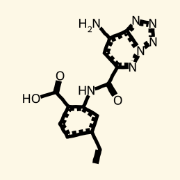 C=Cc1ccc(C(=O)O)c(NC(=O)c2cc(N)c3nnnn3n2)c1